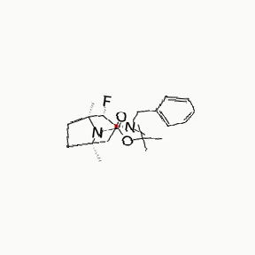 CN(Cc1ccccc1)[C@@H]1C[C@@]2(C)CC[C@@](C)([C@@H]1F)N2C(=O)OC(C)(C)C